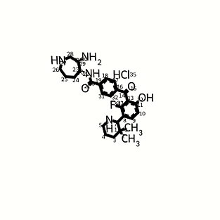 CC1(C)CCCNC1c1ccc(O)c(C(=O)c2ccc(C(=O)N[C@@H]3CCCNC[C@H]3N)cc2)c1F.Cl